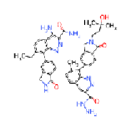 CCc1ccc2c(N)c(C(N)=O)nnc2c1-c1ccc2c(c1)CNC2=O.Cc1ccc2cc(C(=O)NN)nnc2c1-c1ccc2c(c1)CN(CCC(C)(C)O)C2=O